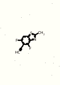 C#Cc1c(F)cc2sc(C)nc2c1F